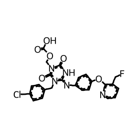 O=C(O)OCn1c(=O)[nH]/c(=N\c2ccc(Oc3ncccc3CF)cc2)n(Cc2ccc(Cl)cc2)c1=O